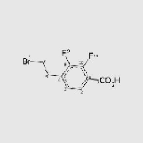 O=C(O)c1ccc(CCBr)c(F)c1F